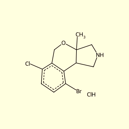 CC12CNCC1c1c(Br)ccc(Cl)c1CO2.Cl